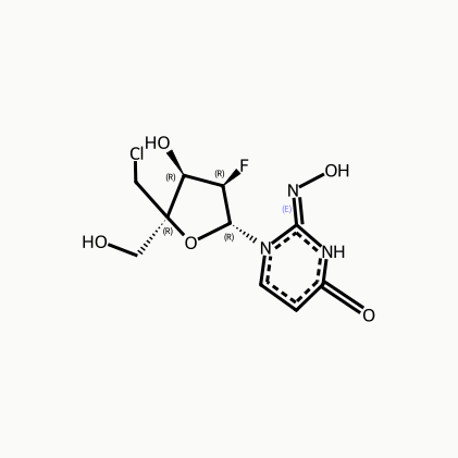 O=c1ccn([C@@H]2O[C@@](CO)(CCl)[C@@H](O)[C@H]2F)/c(=N/O)[nH]1